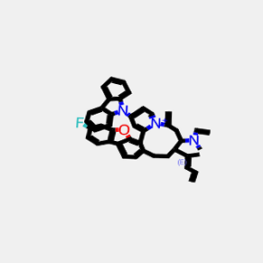 C=C/C=C(\C)C1CCc2ccc3c(oc4cc(F)ccc43)c2-c2cc(-n3c4ccccc4c4ccccc43)cc[n+]2C(=C)CC1N(C)C=C